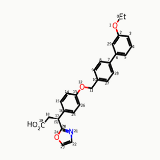 CCOc1cccc(-c2ccc(COc3ccc([C@H](CC(=O)O)c4ncco4)cc3)cc2)c1